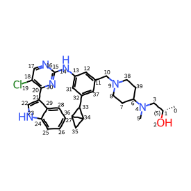 C[C@H](O)CN(C)C1CCN(Cc2cc(Nc3ncc(Cl)c(-c4c[nH]c5ccccc45)n3)cc(C3C4CC43)c2)CC1